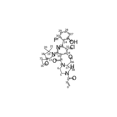 C=CC(=O)N1CCN2C(=O)c3c(N4CC5(CCO5)CC4(C)C)nc(-c4c(O)cccc4F)c(Cl)c3OC[C@H]2C1